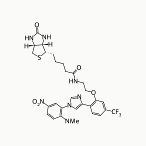 CNc1ccc([N+](=O)[O-])cc1-n1cnc(-c2ccc(C(F)(F)F)cc2OCCNC(=O)CCCC[C@@H]2SC[C@@H]3NC(=O)N[C@@H]32)c1